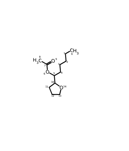 CCCCCC(OC(C)=O)C1CCCO1